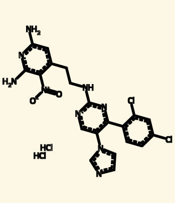 Cl.Cl.Nc1cc(CCNc2ncc(-n3ccnc3)c(-c3ccc(Cl)cc3Cl)n2)c([N+](=O)[O-])c(N)n1